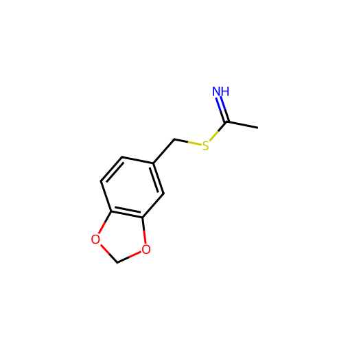 CC(=N)SCc1ccc2c(c1)OCO2